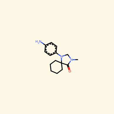 CN1CN(c2ccc(N)cc2)C2(CCCCC2)C1=O